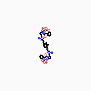 Cc1c(/C=C/c2c[nH]c(C3CCCN3C(=O)C(NC(=O)O)c3ccccc3)n2)ccc(/C=C/c2c[nH]c([C@@H]3CCCN3C(=O)[C@H](NC(=O)O)c3ccccc3)n2)c1C